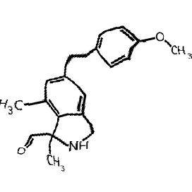 COc1ccc(Cc2cc(C)c3c(c2)CNC3(C)C=O)cc1